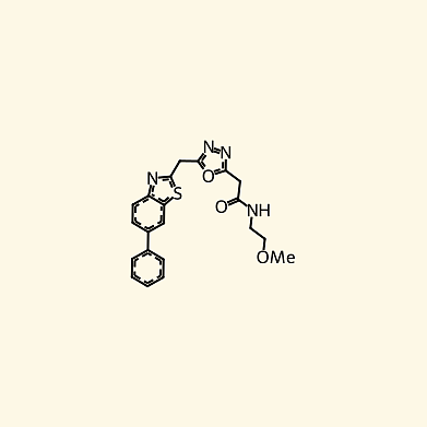 COCCNC(=O)Cc1nnc(Cc2nc3ccc(-c4ccccc4)cc3s2)o1